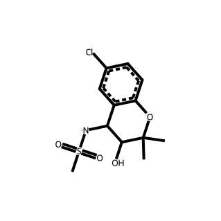 CC1(C)Oc2ccc(Cl)cc2C([N]S(C)(=O)=O)C1O